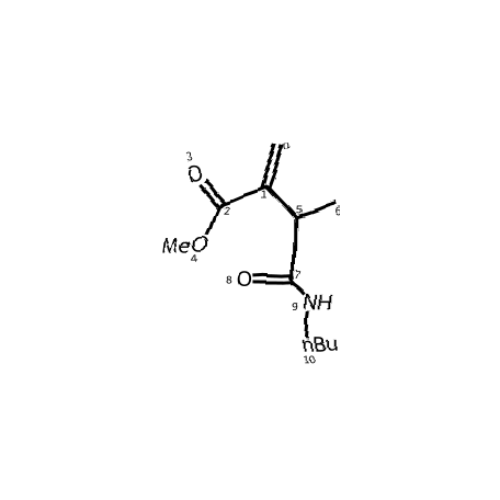 C=C(C(=O)OC)C(C)C(=O)NCCCC